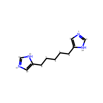 c1ncc(CCCCCc2cnc[nH]2)[nH]1